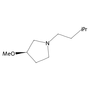 CO[C@@H]1CCN(CCC(C)C)C1